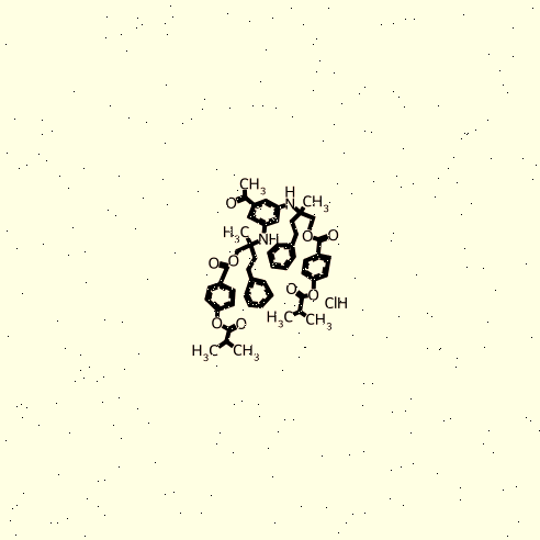 CC(=O)c1cc(NC(C)(CCc2ccccc2)COC(=O)c2ccc(OC(=O)C(C)C)cc2)cc(NC(C)(CCc2ccccc2)COC(=O)c2ccc(OC(=O)C(C)C)cc2)c1.Cl